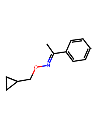 CC(=NOCC1CC1)c1cc[c]cc1